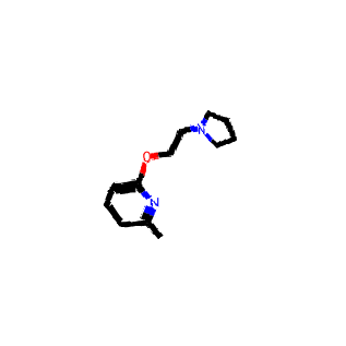 Cc1cccc(OCCN2CCCC2)n1